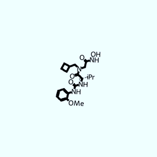 COc1ccccc1NC(=O)N[C@H](C(=O)N(CC(=O)NO)CC1CCC1)C(C)C